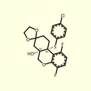 O[C@@]12COc3c(F)ccc(F)c3[C@]1(Sc1ccc(Cl)cc1)CCC1(C2)OCCO1